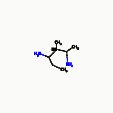 CCC(N)[SiH](C)C(C)N